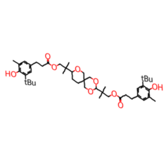 Cc1cc(CCC(=O)OCC(C)(C)C2CCC3(CO2)COC(C(C)(C)COC(=O)CCc2cc(C)c(O)c(C(C)(C)C)c2)OC3)cc(C(C)(C)C)c1O